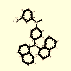 CN(c1ccc(N(c2cccc3ccccc23)c2cccc3ccccc23)cc1)c1cccc([N+](=O)[O-])c1